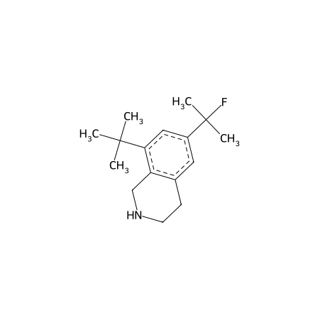 CC(C)(C)c1cc(C(C)(C)F)cc2c1CNCC2